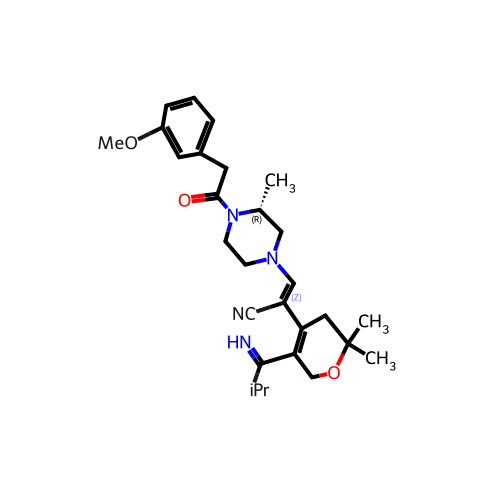 COc1cccc(CC(=O)N2CCN(/C=C(\C#N)C3=C(C(=N)C(C)C)COC(C)(C)C3)C[C@H]2C)c1